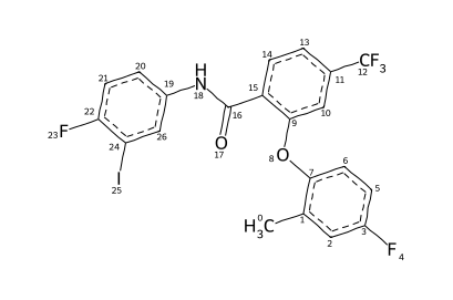 Cc1cc(F)ccc1Oc1cc(C(F)(F)F)ccc1C(=O)Nc1ccc(F)c(I)c1